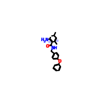 CC(=C/C(C)C)/C(C(=O)NCc1ccc(Oc2ccccc2)cc1)=C(\C)N